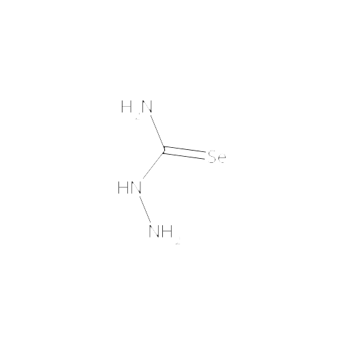 NNC(N)=[Se]